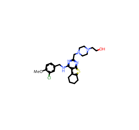 COc1ccc(CNc2nc(CN3CCN(CCO)CC3)nc3sc4c(c23)CCCC4)cc1Cl